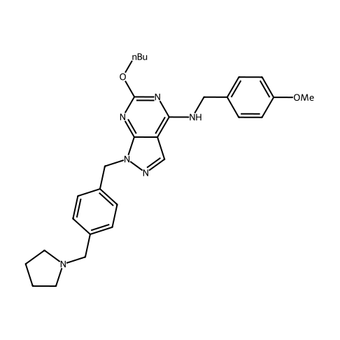 CCCCOc1nc(NCc2ccc(OC)cc2)c2cnn(Cc3ccc(CN4CCCC4)cc3)c2n1